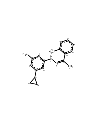 CC(=NNc1nc(C)cc(C2CC2)n1)c1ccccc1C